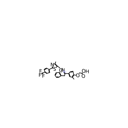 Cc1cc(/C(Cc2ccccc2)=N/OCc2sc(-c3ccc(C(F)(F)F)cc3)nc2C)ccc1OCC(=O)O